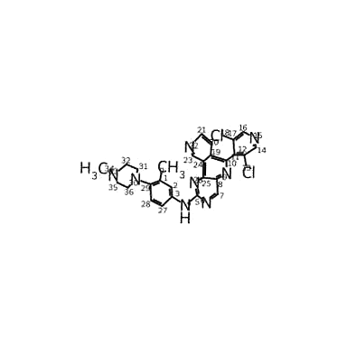 Cc1cc(Nc2ncc3nc(-c4c(Cl)cncc4Cl)c4ccncc4c3n2)ccc1N1CCN(C)CC1